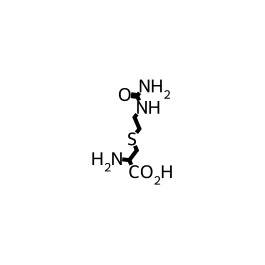 NC(=O)NCCSCC(N)C(=O)O